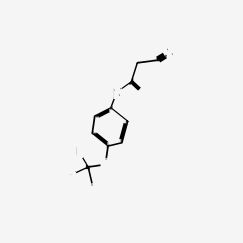 N#CCC(=O)Nc1ccc(SC(F)(F)F)cc1